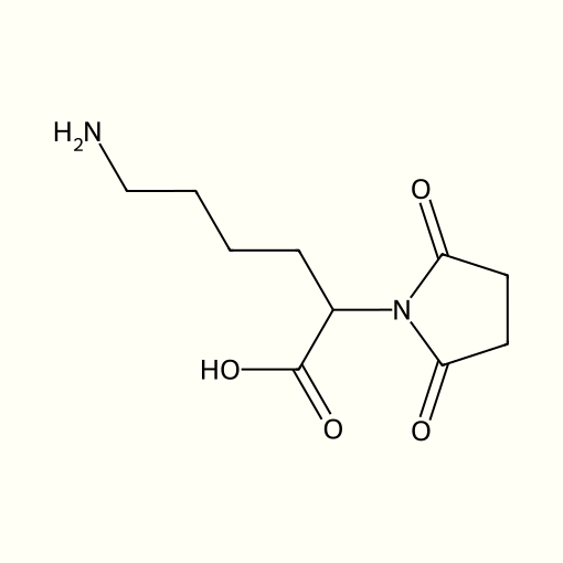 NCCCCC(C(=O)O)N1C(=O)CCC1=O